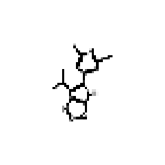 Cc1cc(-c2[nH]c3scnc3c2C(C)C)cc(C)n1